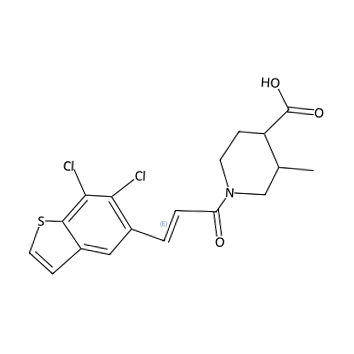 CC1CN(C(=O)/C=C/c2cc3ccsc3c(Cl)c2Cl)CCC1C(=O)O